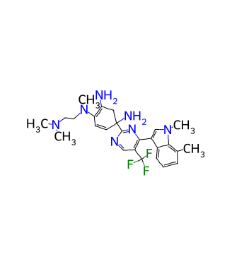 Cc1cccc2c(-c3nc(C4(N)C=CC(N(C)CCN(C)C)=C(N)C4)ncc3C(F)(F)F)cn(C)c12